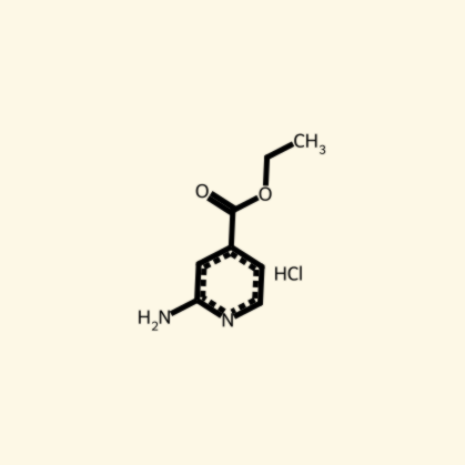 CCOC(=O)c1ccnc(N)c1.Cl